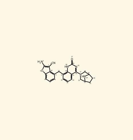 N#Cc1c(N)oc2cccc(Cc3cccc4c(N5CC6CCC(C5)N6)nc(=O)[nH]c34)c12